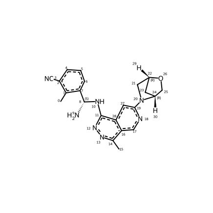 Cc1c(C#N)cccc1[C@@H](N)Nc1nnc(C)c2cnc(N3C[C@H]4C[C@@H]3CO4)cc12